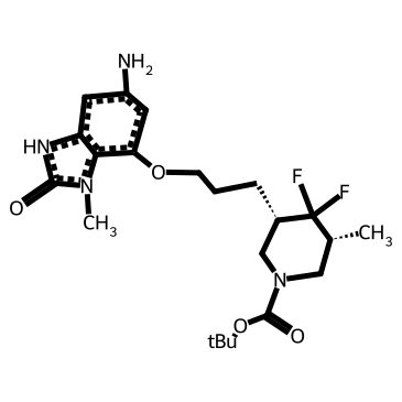 C[C@@H]1CN(C(=O)OC(C)(C)C)C[C@H](CCCOc2cc(N)cc3[nH]c(=O)n(C)c23)C1(F)F